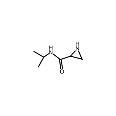 CC(C)NC(=O)C1CN1